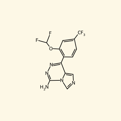 Nc1nnc(-c2ccc(C(F)(F)F)cc2OC(F)F)c2cncn12